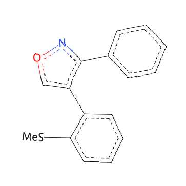 CSc1ccccc1-c1conc1-c1ccccc1